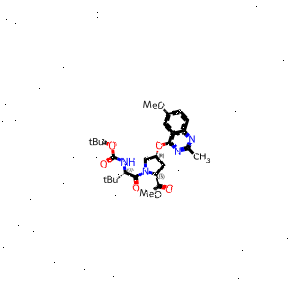 COC(=O)[C@@H]1C[C@@H](Oc2nc(C)nc3ccc(OC)cc23)CN1C(=O)[C@@H](NC(=O)OC(C)(C)C)C(C)(C)C